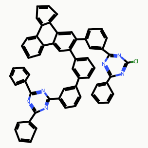 Clc1nc(-c2ccccc2)nc(-c2cccc(-c3cc4c5ccccc5c5ccccc5c4cc3-c3cccc(-c4cccc(-c5nc(-c6ccccc6)nc(-c6ccccc6)n5)c4)c3)c2)n1